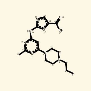 CCCN1CCN(c2cc(Nc3ncc(C(=O)O)s3)nc(C)n2)CC1